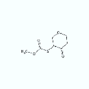 COC(=O)SC1COCCC1=O